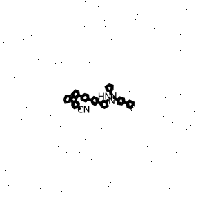 N#Cc1ccc2c(c1)-c1c(C3=CC=C(C4C=CC(C5=CCCC(C6N=C(c7ccc(-c8ccccc8)cc7)N=C(c7ccccc7)N6)=C5)=CC4)CC3)cccc1C21CCCCC1